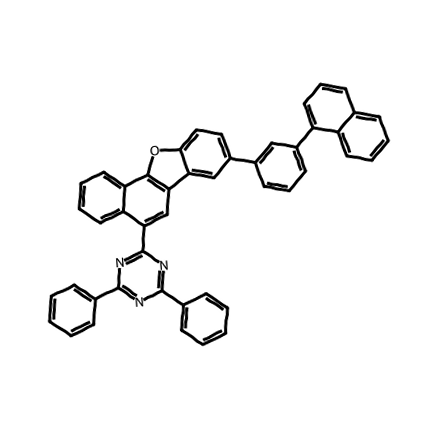 c1ccc(-c2nc(-c3ccccc3)nc(-c3cc4c5cc(-c6cccc(-c7cccc8ccccc78)c6)ccc5oc4c4ccccc34)n2)cc1